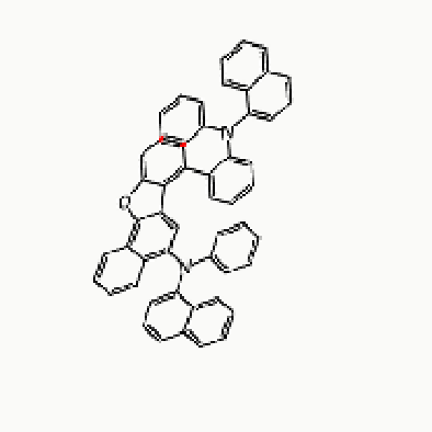 c1ccc(N(c2ccccc2-c2cccc3oc4c5ccccc5c(N(c5ccccc5)c5cccc6ccccc56)cc4c23)c2cccc3ccccc23)cc1